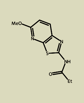 CCC(=O)Nc1nc2ccc(OC)nc2s1